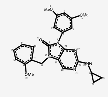 COc1cc(OC)cc(-n2c(=O)n(Cc3ccccc3OC)c3cnc(NC4CC4)nc32)c1